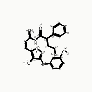 C=C(/C=C\c1[nH]nc(Nc2cccc(C)c2)c1C)NC(=O)C(CCN)c1ccccc1